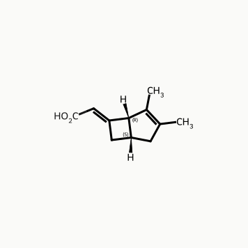 CC1=C(C)[C@H]2C(=CC(=O)O)C[C@H]2C1